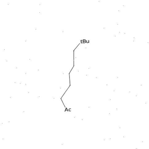 CC(=O)CCCCCC(C)(C)C